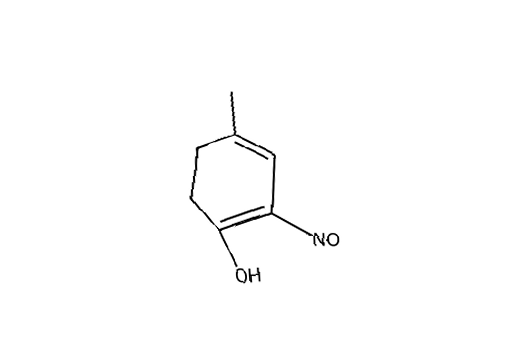 CC1=CC(N=O)=C(O)CC1